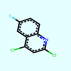 Fc1ccc2nc(Cl)cc(Cl)c2c1